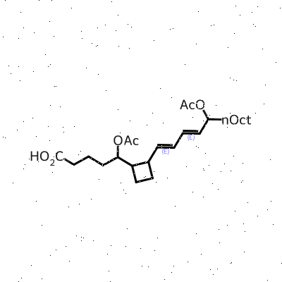 CCCCCCCCC(/C=C/C=C/C1CCC1C(CCCC(=O)O)OC(C)=O)OC(C)=O